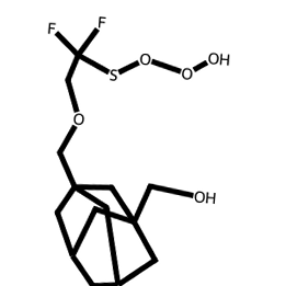 OCC12CC3CC(C1)CC(COCC(F)(F)SOOO)(C3)C2